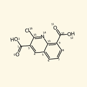 O=C(O)c1cc2cccc(C(=O)O)c2nc1Cl